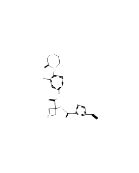 C#Cc1ccc(C(=O)NC2(C(=O)Nc3ccc(N4CCOCC4=O)c(C)c3)CNC2)s1